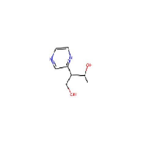 CC(O)C(CO)c1cnccn1